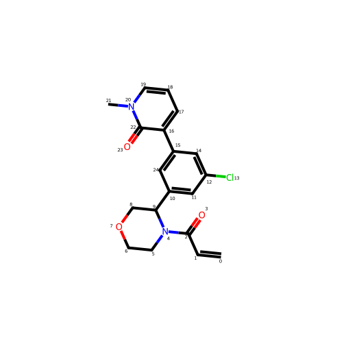 C=CC(=O)N1CCOCC1c1cc(Cl)cc(-c2cccn(C)c2=O)c1